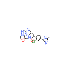 Cc1cncc(-c2ccc(-c3cc4cnc(C)nc4n(CC4CNCCO4)c3=O)c(Cl)c2)n1